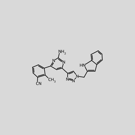 Cc1c(C#N)cccc1-c1cc(-c2cn(Cc3cc4ccccc4[nH]3)nn2)nc(N)n1